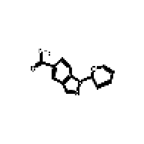 NC(=O)c1ccc2c(cnn2C2C=CC=CO2)c1